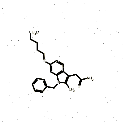 CCOC(=O)CCCCOc1ccc2c(CC(N)=O)c(C)n(Cc3ccccc3)c2c1